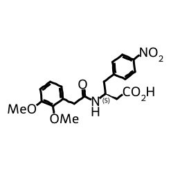 COc1cccc(CC(=O)N[C@H](CC(=O)O)Cc2ccc([N+](=O)[O-])cc2)c1OC